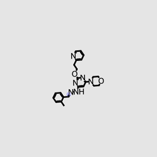 Cc1ccccc1/C=N/Nc1cc(N2CCOCC2)nc(OCCc2ccccn2)n1